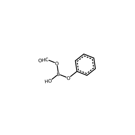 O=COB(O)Oc1ccccc1